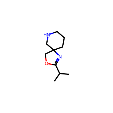 CC(C)C1=NC2(CCCNC2)CO1